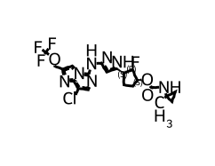 CC1(NC(=O)O[C@H]2CC[C@@H](c3cc(Nc4ncc(Cl)c5nc(COC(F)(F)F)cn45)n[nH]3)[C@H]2F)CC1